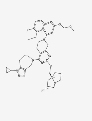 CCc1c(F)ccc2cc(OCOC)cc(N3CCc4c(nc(OC[C@@]56CCCN5C[C@H](F)C6)nc4N4CCCc5c(cnn5C5CC5)C4)C3)c12